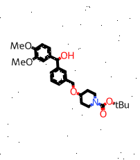 COc1ccc(C(O)c2cccc(COC3CCN(C(=O)OC(C)(C)C)CC3)c2)cc1OC